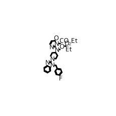 CCOC(=O)C(OC(=O)CC)n1c(N(C)C2CCN(c3nc4ccccc4n3Cc3ccc(F)cc3)CC2)nccc1=O